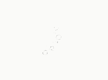 C=CC(=O)Nc1cc(Cl)cc(NC(=O)c2cnn(-c3ccccc3)c2C(F)(F)F)c1